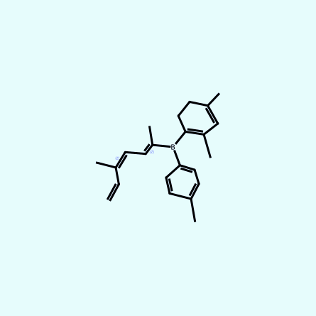 C=C/C(C)=C\C=C(/C)B(C1=C(C)C=C(C)CC1)c1ccc(C)cc1